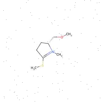 COC[C@H]1CCC(SC)=[N+]1C